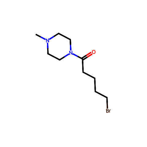 CN1CCN(C(=O)CCCCBr)CC1